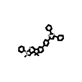 CN1Cc2c(ncc3c2C(C)(C)c2ccc(-c4ccc(-c5cc(-c6ccccc6)nc(-c6ccccc6)n5)cc4)cc2-3)N1c1ccccc1